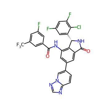 O=C(Nc1cc(-c2ccc3ncnn3c2)cc2c1[C@H](c1cc(F)cc(F)c1Cl)NC2=O)c1cc(F)cc(C(F)(F)F)c1